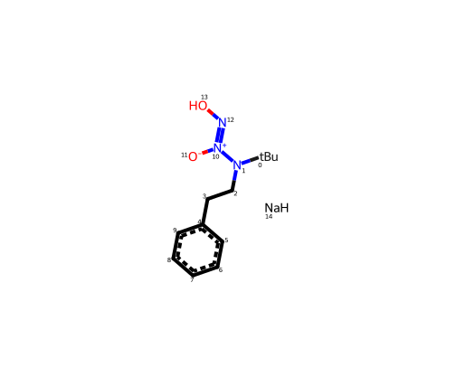 CC(C)(C)N(CCc1ccccc1)[N+]([O-])=NO.[NaH]